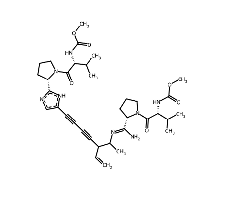 C=CC(C#CC#Cc1cnc([C@@H]2CCCN2C(=O)[C@H](NC(=O)OC)C(C)C)[nH]1)C(C)/N=C(\N)[C@@H]1CCCN1C(=O)[C@H](NC(=O)OC)C(C)C